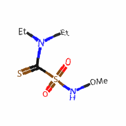 CCN(CC)C(=S)S(=O)(=O)NOC